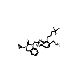 NCc1ccc2[nH]c(CN3C(=O)N(C4CC4)Cc4ccccc43)nc2c1CCCC(F)(F)F